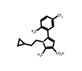 Cc1c(C(=O)O)cc(-c2cc(C(F)(F)F)ccc2C(F)(F)F)n1CCC1CC1